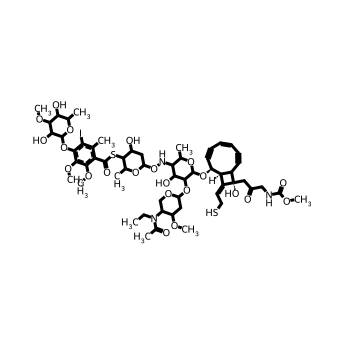 CCN(C(C)=O)C1COC(OC2C(O[C@H]3C#C/C=C\C#CC4[C@H]3/C(=C/CS)[C@]4(O)CC(=O)CNC(=O)OC)OC(C)C(NOC3CC(O)C(SC(=O)c4c(C)c(I)c(OC5OC(C)C(O)C(OC)C5O)c(OC)c4OC)C(C)O3)C2O)CC1OC